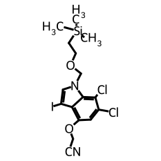 C[Si](C)(C)CCOCn1cc(I)c2c(OCC#N)cc(Cl)c(Cl)c21